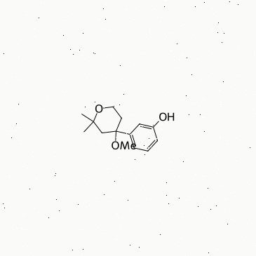 COC1(c2cccc(O)c2)CCOC(C)(C)C1